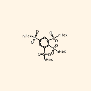 CCCCCCS(=O)(=O)c1cc(S(=O)(=O)CCCCCC)c(S(=O)(=O)CCCCCC)c(S(=O)(=O)CCCCCC)c1